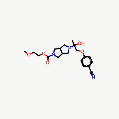 COCCOC(=O)N1CC2CN(C(C)(O)COc3ccc(C#N)cc3)CC2C1